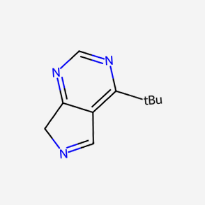 CC(C)(C)c1ncnc2c1C=NC2